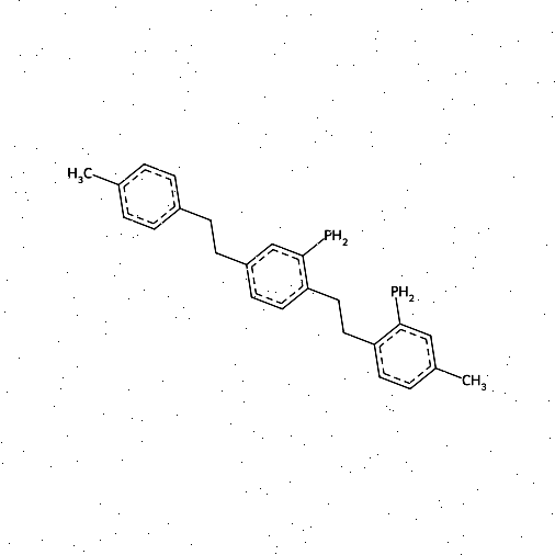 Cc1ccc(CCc2ccc(CCc3ccc(C)cc3P)c(P)c2)cc1